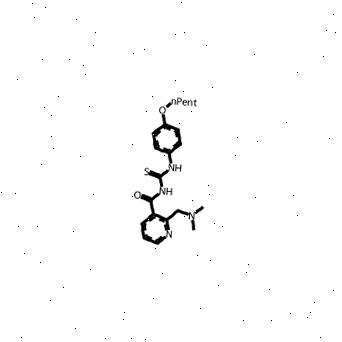 CCCCCOc1ccc(NC(=S)NC(=O)c2cccnc2CN(C)C)cc1